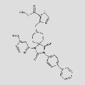 CCCCOC(=O)c1[nH]cnc1CN1CCC2(CC1)C(=O)N(c1ccc(-c3ccccc3)cc1)C(=O)N2c1cc(OC)ncn1